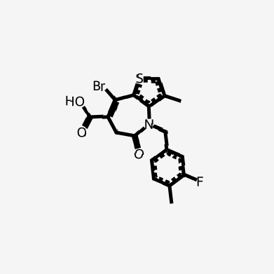 Cc1ccc(CN2C(=O)CC(C(=O)O)=C(Br)c3scc(C)c32)cc1F